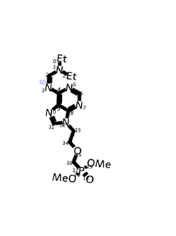 CCN(/C=N\c1ncnc2c1ncn2CCOCP(=O)(OC)OC)CC